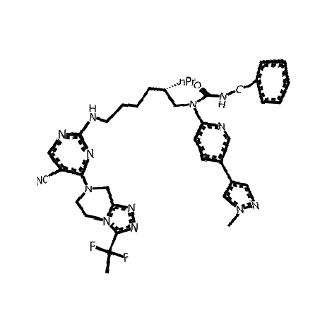 CCC[C@@H](CCCCNc1ncc(C#N)c(N2CCn3c(nnc3C(C)(F)F)C2)n1)CN(C(=O)NCc1ccccc1)c1ccc(-c2cnn(C)c2)cn1